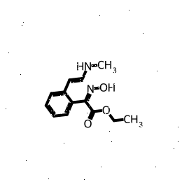 CCOC(=O)C(=NO)c1ccccc1C=CNC